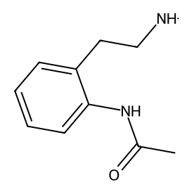 CC(=O)Nc1ccccc1CC[NH]